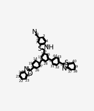 N#Cc1ccc2c(c1)SC(c1cc(-c3ccc(-c4nc5ccccc5o4)cc3)cc(-c3ccc(-c4nc5ccccc5s4)cc3)c1)N2